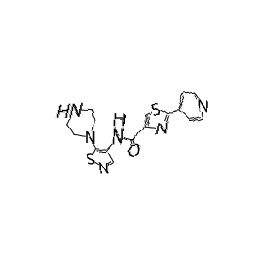 O=C(Nc1cnsc1N1CCNCC1)c1csc(-c2ccncc2)n1